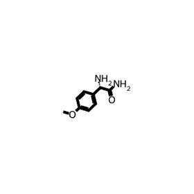 COc1ccc([C@H](N)C(N)=O)cc1